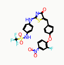 O=C1N=C(Nc2ccc(NS(=O)(=O)C(F)(F)F)cc2)SC1=Cc1ccc(Oc2ccc([N+](=O)[O-])cc2F)cc1